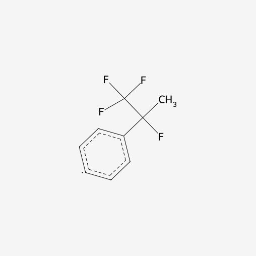 CC(F)(c1cc[c]cc1)C(F)(F)F